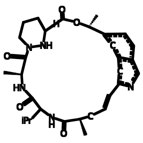 CC(C)C1NC(=O)[C@H](C)C/C=C/c2cc3cc(ccc3cn2)[C@@H](C)OC(=O)[C@@H]2CCCN(N2)C(=O)[C@H](C)NC1=O